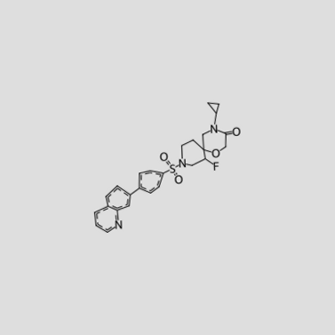 O=C1COC2(CCN(S(=O)(=O)c3ccc(-c4ccc5cccnc5c4)cc3)CC2F)CN1C1CC1